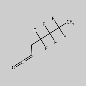 O=C=CCC(F)(F)C(F)(F)C(F)(F)C(F)(F)F